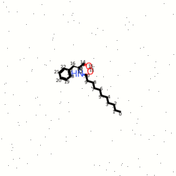 CCCCCCCCCCC(=O)N[C@H]([C]=O)Cc1ccccc1